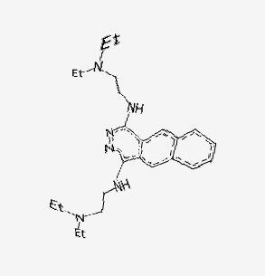 CCN(CC)CCNc1nnc(NCCN(CC)CC)c2cc3ccccc3cc12